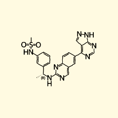 C[C@@H](Nc1ncc2cc(-c3ncnc4[nH]ncc34)ccc2n1)c1cccc(NS(C)(=O)=O)c1